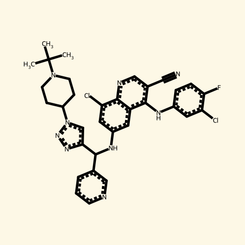 CC(C)(C)N1CCC(n2cc(C(Nc3cc(Cl)c4ncc(C#N)c(Nc5ccc(F)c(Cl)c5)c4c3)c3cccnc3)nn2)CC1